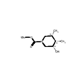 C[C@@H]1[C@H](O)CN(C(=O)OC(C)(C)C)C[C@@H]1C